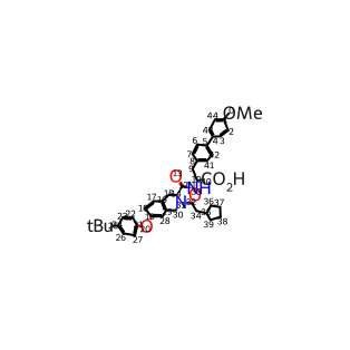 COc1ccc(-c2ccc(CC(NC(=O)[C@@H]3Cc4ccc(Oc5ccc(C(C)(C)C)cc5)cc4CN3C(=O)CC3CCCC3)C(=O)O)cc2)cc1